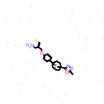 Cc1nnc(C23CCCC(c4ccc(OC/C(=C/F)CN)cc4)(CC2)CC3)o1